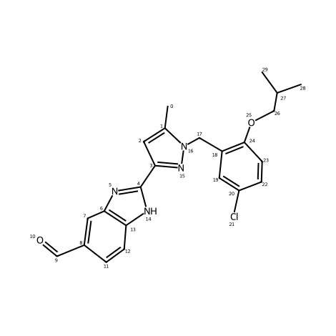 Cc1cc(-c2nc3cc(C=O)ccc3[nH]2)nn1Cc1cc(Cl)ccc1OCC(C)C